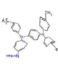 Cc1ccc(N(c2ccc(C)cc2)c2ccc(N(c3ccc(C)cc3)c3ccc(N=N)cc3)cc2)cc1